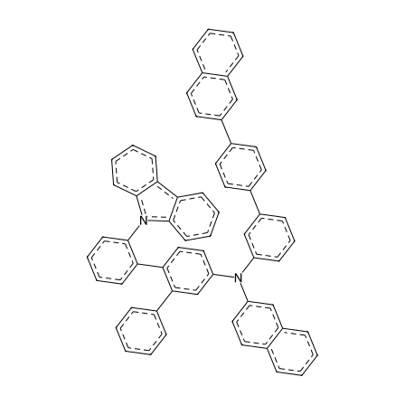 c1ccc(-c2cc(N(c3cccc(-c4ccc(-c5ccc6ccccc6c5)cc4)c3)c3ccc4ccccc4c3)ccc2-c2ccccc2-n2c3ccccc3c3ccccc32)cc1